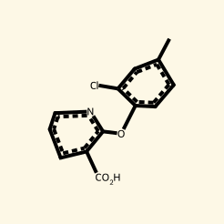 Cc1ccc(Oc2ncccc2C(=O)O)c(Cl)c1